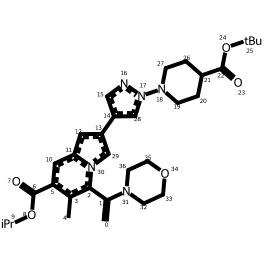 C=C(c1c(C)c(C(=O)OC(C)C)cc2cc(-c3cnn(N4CCC(C(=O)OC(C)(C)C)CC4)c3)cn12)N1CCOCC1